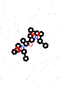 c1ccc(-c2ccc(N(c3cc4oc5cc(N(c6ccc(-c7ccccc7)cc6-c6ccccc6)c6cccc7c6oc6ccccc67)c6ccccc6c5c4c4ccccc34)c3cccc4c3oc3ccccc34)c(-c3ccccc3)c2)cc1